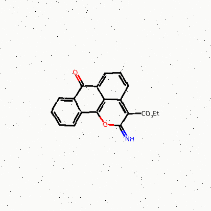 CCOC(=O)c1c(=N)oc2c3c(cccc13)C(=O)c1ccccc1-2